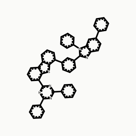 c1ccc(-c2ccc3nc(-c4cccc(-c5cccc6c5sc5c(-c7nc(-c8ccccc8)nc(-c8ccccc8)n7)cccc56)c4)n(-c4ccccc4)c3c2)cc1